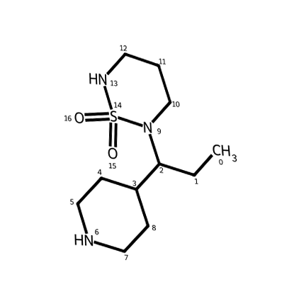 CCC(C1CCNCC1)N1CCCNS1(=O)=O